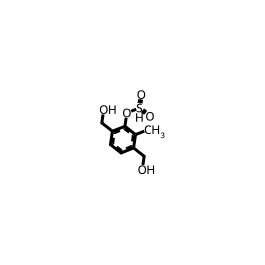 Cc1c(CO)ccc(CO)c1O[SH](=O)=O